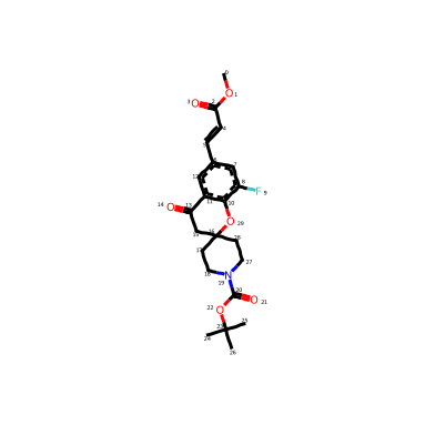 COC(=O)/C=C/c1cc(F)c2c(c1)C(=O)CC1(CCN(C(=O)OC(C)(C)C)CC1)O2